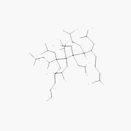 CCCCCC(CCC)C[C](CCCC(CC)CCC)C(CCC)(CCC(CCC)CCC)C(CC(CCC)CCCC)(CC(CCC)CCCCC)C(CC(CCC)CCCCC)(C(CCC)CCCCC)C(CCCCCC(C)CC)(CC(CCC)CCCCC)C(C)CC(CCC)CCCCC